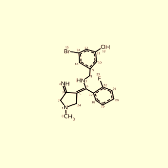 CN1CC(=N)/C(=C(\NCc2cc(O)cc(Br)c2)c2ccccc2F)C1